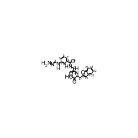 NN=CNc1cccc(C(=O)NCC(=O)NC(Cc2cc3ccccc3o2)C(=O)O)c1